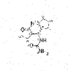 NC(=O)Nc1c2c(nc3c1CCO3)CCC2